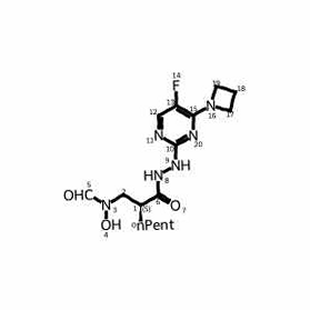 CCCCC[C@@H](CN(O)C=O)C(=O)NNc1ncc(F)c(N2CCC2)n1